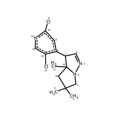 CC1(C)CN2N=CC(c3cc(Cl)ncc3Cl)C2(C)C1